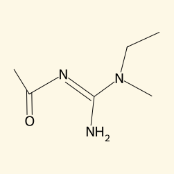 CCN(C)/C(N)=N/C(C)=O